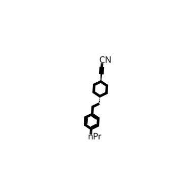 CCCc1ccc(CC[C@H]2CC[C@H](C#CC#N)CC2)cc1